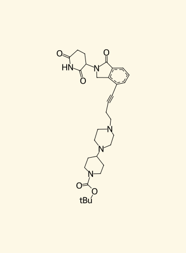 CC(C)(C)OC(=O)N1CCC(N2CCN(CCC#Cc3cccc4c3CN(C3CCC(=O)NC3=O)C4=O)CC2)CC1